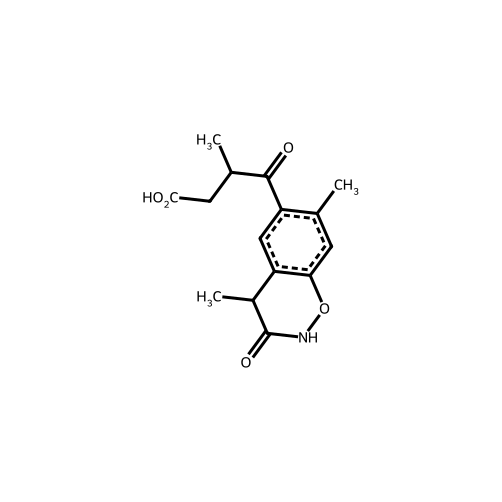 Cc1cc2c(cc1C(=O)C(C)CC(=O)O)C(C)C(=O)NO2